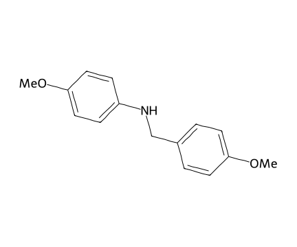 COc1ccc(CNc2ccc(OC)cc2)cc1